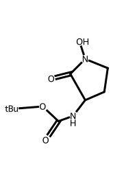 CC(C)(C)OC(=O)NC1CCN(O)C1=O